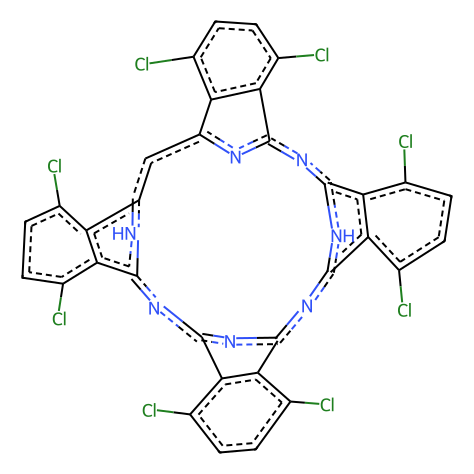 Clc1ccc(Cl)c2c1-c1cc3[nH]c(nc4nc(nc5[nH]c(nc-2n1)c1c(Cl)ccc(Cl)c51)-c1c(Cl)ccc(Cl)c1-4)c1c(Cl)ccc(Cl)c31